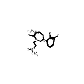 C[S+]([O-])CCN1C[C@H](c2cccc(F)c2F)CC[C@@H](N)C1=O